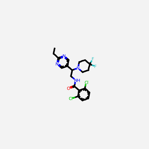 CCc1ncc(C(CNC(=O)c2c(Cl)cccc2Cl)N2CCC(F)(F)CC2)cn1